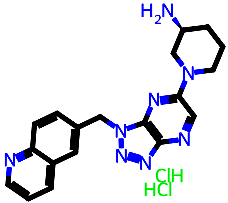 Cl.Cl.N[C@H]1CCCN(c2cnc3nnn(Cc4ccc5ncccc5c4)c3n2)C1